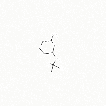 CCCC(C)(C)NC1CCCC(N)C1